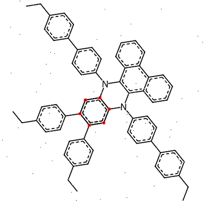 CCc1ccc(-c2ccc(N(c3ccc(-c4ccc(CC)cc4)cc3)c3c(N(c4ccc(-c5ccc(CC)cc5)cc4)c4ccc(-c5ccc(CC)cc5)cc4)c4ccccc4c4ccccc34)cc2)cc1